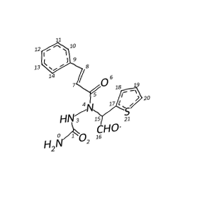 NC(=O)NN(C(=O)C=Cc1ccccc1)C([C]=O)c1cccs1